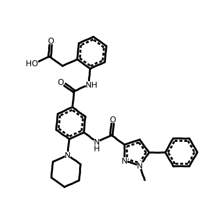 Cn1nc(C(=O)Nc2cc(C(=O)Nc3ccccc3CC(=O)O)ccc2N2CCCCC2)cc1-c1ccccc1